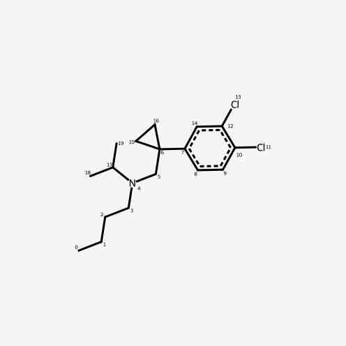 CCCCN(CC1(c2ccc(Cl)c(Cl)c2)CC1)C(C)C